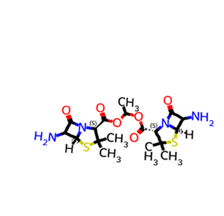 CC(OC(=O)[C@@H]1N2C(=O)C(N)[C@H]2SC1(C)C)OC(=O)[C@@H]1N2C(=O)C(N)[C@H]2SC1(C)C